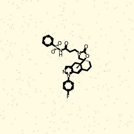 C[C@]12Cc3cnn(-c4ccc(F)cc4)c3C=C1CCC[C@@]21CN(CCC(=O)NS(=O)(=O)c2ccccc2)C(=O)O1